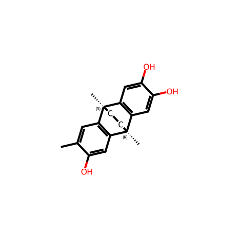 Cc1cc2c(cc1O)[C@@]1(C)CC[C@]2(C)c2cc(O)c(O)cc21